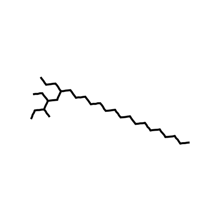 CCCCCCCCCCCCCCCCCC(CCC)CC(CC)C(C)CC